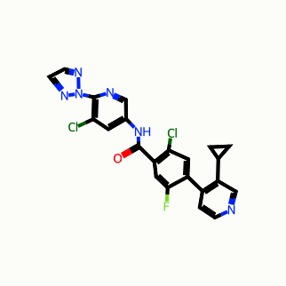 O=C(Nc1cnc(-n2nccn2)c(Cl)c1)c1cc(F)c(-c2ccncc2C2CC2)cc1Cl